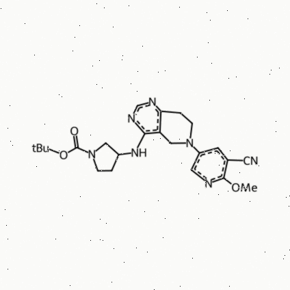 COc1ncc(N2CCc3ncnc(NC4CCN(C(=O)OC(C)(C)C)C4)c3C2)cc1C#N